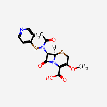 COC1=C(C(=O)O)N2C(=O)[C@@H](N(Sc3ccncc3)C(C)=O)[C@H]2SC1